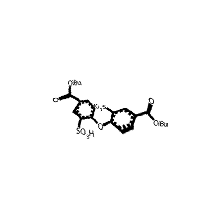 CC(C)COC(=O)c1ccc(Oc2ccc(C(=O)OCC(C)C)cc2S(=O)(=O)O)c(S(=O)(=O)O)c1